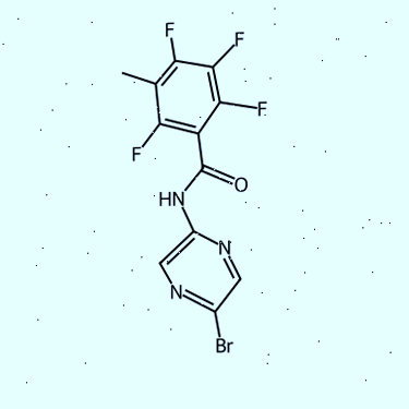 Cc1c(F)c(F)c(F)c(C(=O)Nc2cnc(Br)cn2)c1F